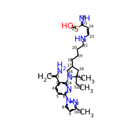 C=C(N)c1ccc(-n2ccc(C)n2)nc1N1CC(CCCCN/C=C\C(=N)SO)CC1(C)CC